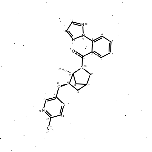 O=C(c1ccccc1-n1nccn1)N1CC2C[C@@H](Oc3cnc(C(F)(F)F)cn3)[C@@H]1C2